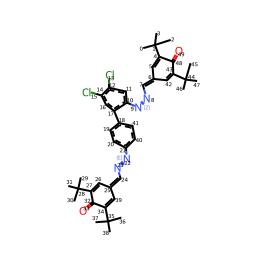 CC(C)(C)C1=CC(=C/N=N\c2cc(Cl)c(Cl)cc2-c2ccc(/N=N/C=C3C=C(C(C)(C)C)C(=O)C(C(C)(C)C)=C3)cc2)C=C(C(C)(C)C)C1=O